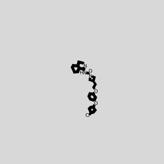 O=C(Nc1nccc2ccccc12)N1CC(CCOc2cccc(Oc3ccc(Cl)cc3)c2)C1